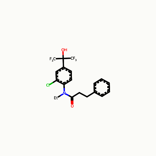 CCN(C(=O)CCc1ccccc1)c1ccc(C(O)(C(F)(F)F)C(F)(F)F)cc1Cl